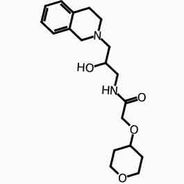 O=C(COC1CCOCC1)NCC(O)CN1CCc2ccccc2C1